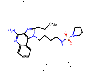 COCCc1nc2c(N)nc3ccccc3c2n1CCCCNS(=O)(=O)N1CCCC1